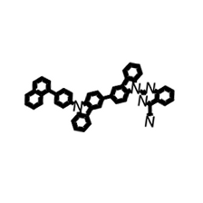 N#Cc1nc(-n2c3ccccc3c3cc(-c4ccc5c(c4)c4ccccc4n5-c4ccc(-c5cccc6ccccc56)cc4)ccc32)nc2ccccc12